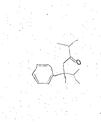 CC(C)C(=O)CC(C)(c1ccccc1)C(C)C